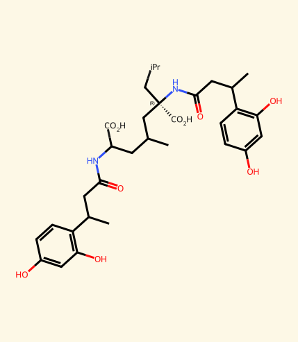 CC(C)C[C@](CC(C)CC(NC(=O)CC(C)c1ccc(O)cc1O)C(=O)O)(NC(=O)CC(C)c1ccc(O)cc1O)C(=O)O